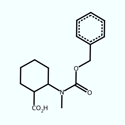 CN(C(=O)OCc1ccccc1)C1CCCCC1C(=O)O